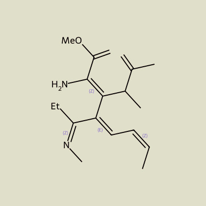 C=C(OC)/C(N)=C(C(=C\C=C/C)/C(CC)=N\C)\C(C)C(=C)C